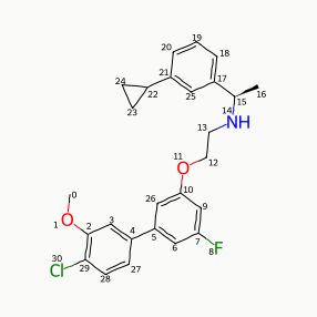 COc1cc(-c2cc(F)cc(OCCN[C@H](C)c3cccc(C4CC4)c3)c2)ccc1Cl